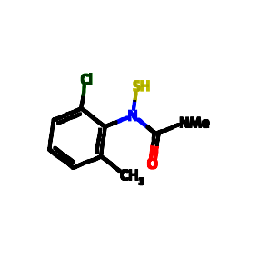 CNC(=O)N(S)c1c(C)cccc1Cl